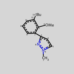 COc1c(-c2ccn(C)n2)cccc1C(C)(C)C